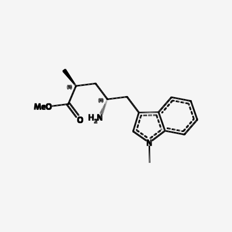 COC(=O)[C@@H](C)C[C@@H](N)Cc1cn(C)c2ccccc12